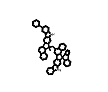 CC1(Cc2cc3c(c4ccccc24)C2(c4ccccc4-c4ccccc42)c2cc4[nH]c5ccccc5c4cc2-3)c2cc3[nH]c4ccc(-c5ccccc5)cc4c3cc2-c2ccc3ccccc3c21